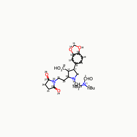 CCCCN(C=O)CCCC.CN1CC(c2ccc3c(c2)OCO3)C(C(=O)O)C1CCN1C(=O)CCC1=O